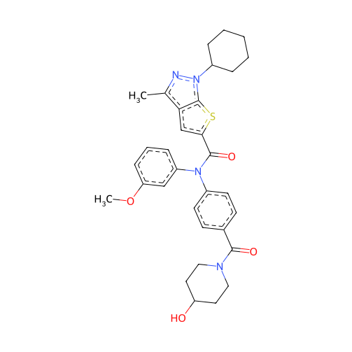 COc1cccc(N(C(=O)c2cc3c(C)nn(C4CCCCC4)c3s2)c2ccc(C(=O)N3CCC(O)CC3)cc2)c1